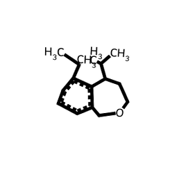 CC(C)c1cccc2c1C(C(C)C)CCOC2